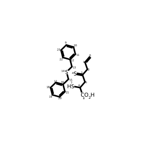 C=CCC(=S)CC(S)C(=O)O.c1ccc(CSCc2ccccc2)cc1